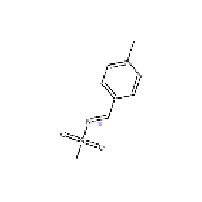 Cc1ccc(/C=N/S(C)(=O)=O)cc1